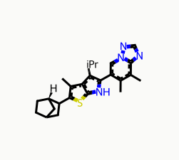 Cc1c(-c2[nH]c3sc(C4CC5CC[C@H]4C5)c(C)c3c2C(C)C)cn2ncnc2c1C